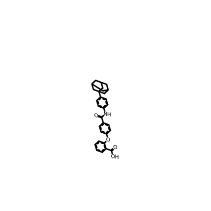 O=C(Nc1ccc(C23CC4CC(CC(C4)C2)C3)cc1)c1ccc(Oc2ccccc2C(=O)O)cc1